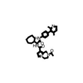 CC(=O)N1CCn2ccc(C(=O)N[C@H](C(=O)Nc3ccc(-c4c(C)ccnc4C)cc3)C3CCCCCC3)c2C1